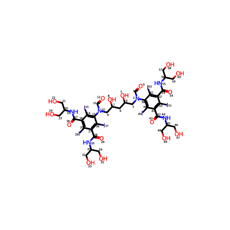 O=CN(CC(O)CC(O)CN(C=O)c1c(I)c(C(=O)NC(CO)CO)c(I)c(C(=O)NC(CO)CO)c1I)c1c(I)c(C(=O)NC(CO)CO)c(I)c(C(=O)NC(CO)CO)c1I